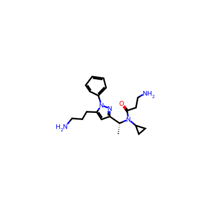 C[C@H](c1cc(CCCN)n(-c2ccccc2)n1)N(C(=O)CCN)C1CC1